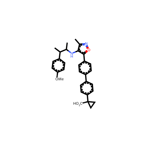 COc1ccc(C(C)C(C)Nc2c(C)noc2-c2ccc(-c3ccc(C4(C(=O)O)CC4)cc3)cc2)cc1